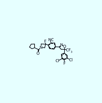 N#Cc1cc(C2=NOC(c3cc(Cl)c(F)c(Cl)c3)(C(F)(F)F)C2)ccc1C1(F)CN(C(=O)C2CCCC2)C1